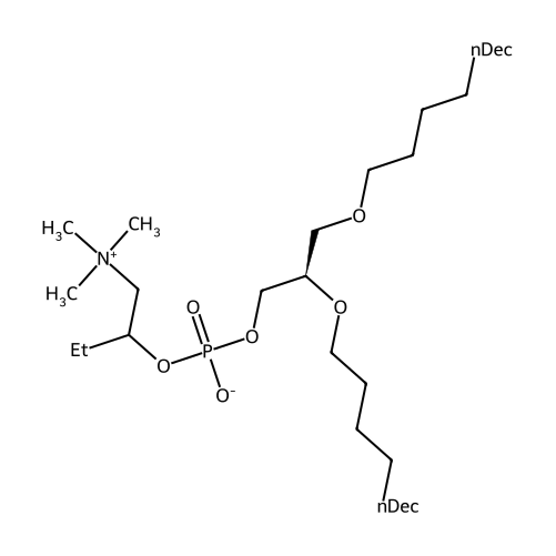 CCCCCCCCCCCCCCOC[C@H](COP(=O)([O-])OC(CC)C[N+](C)(C)C)OCCCCCCCCCCCCCC